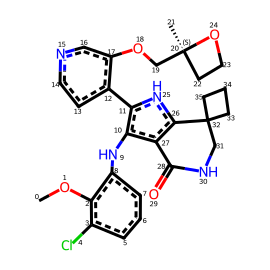 COc1c(Cl)cccc1Nc1c(-c2ccncc2OC[C@]2(C)CCO2)[nH]c2c1C(=O)NCC21CCC1